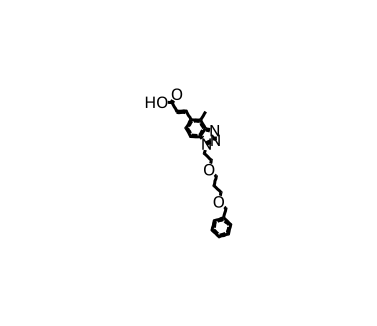 Cc1c(/C=C/C(=O)O)ccc2c1nnn2CCOCCCOCc1ccccc1